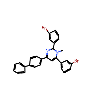 CN1C(c2cccc(Br)c2)=CC(c2ccc(-c3ccccc3)cc2)=NC1c1cccc(Br)c1